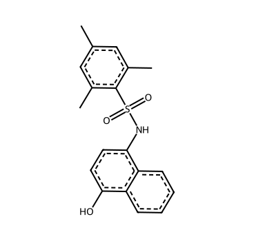 Cc1cc(C)c(S(=O)(=O)Nc2ccc(O)c3ccccc23)c(C)c1